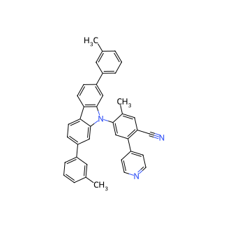 Cc1cccc(-c2ccc3c4ccc(-c5cccc(C)c5)cc4n(-c4cc(-c5ccncc5)c(C#N)cc4C)c3c2)c1